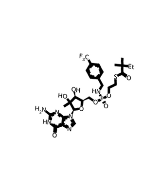 CCC(C)(C)C(=O)SCCOP(=O)(NCc1ccc(C(F)(F)F)cc1)OC[C@H]1O[C@@H](n2cnc3c(=O)[nH]c(N)nc32)C(C)(O)[C@H]1O